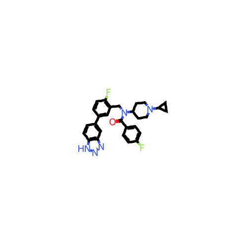 O=C(c1ccc(F)cc1)N(Cc1cc(-c2ccc3[nH]nnc3c2)ccc1F)C1CCN(C2CC2)CC1